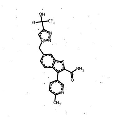 CCC(O)(c1cn(Cc2ccc3c(-c4ccc(C)nc4)c(C(N)=O)sc3c2)nn1)C(F)(F)F